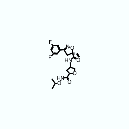 C=C[C@]1(C(=O)NC2COC(C(=O)NOC(C)C)C2)CC(c2cc(F)cc(F)c2)=NO1